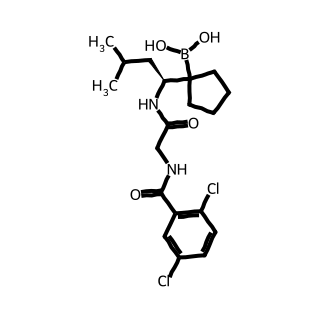 CC(C)C[C@H](NC(=O)CNC(=O)c1cc(Cl)ccc1Cl)C1(B(O)O)CCCC1